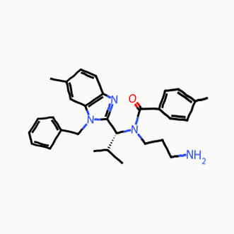 Cc1ccc(C(=O)N(CCCN)[C@@H](c2nc3ccc(C)cc3n2Cc2ccccc2)C(C)C)cc1